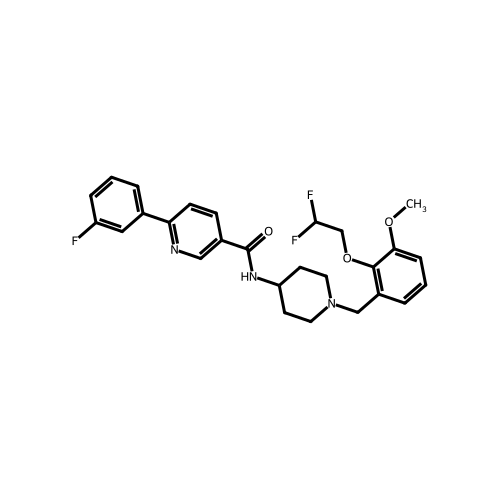 COc1cccc(CN2CCC(NC(=O)c3ccc(-c4cccc(F)c4)nc3)CC2)c1OCC(F)F